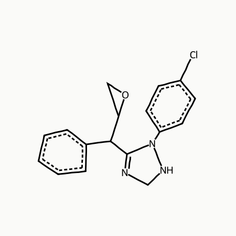 Clc1ccc(N2NCN=C2C(c2ccccc2)C2CO2)cc1